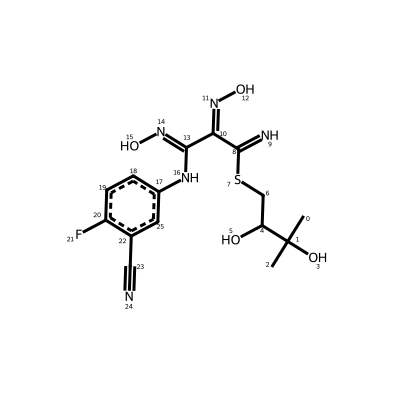 CC(C)(O)C(O)CSC(=N)C(=N\O)/C(=N/O)Nc1ccc(F)c(C#N)c1